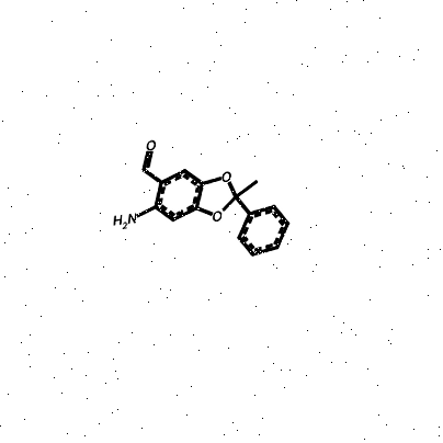 CC1(c2ccccc2)Oc2cc(N)c(C=O)cc2O1